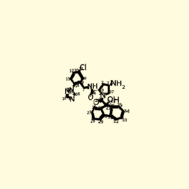 N[C@H]1C[C@@H](C(=O)NCc2cc(Cl)ccc2-n2cncn2)N(C(=O)C2(O)c3ccccc3-c3ccccc32)C1